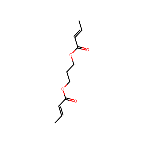 CC=CC(=O)O[CH]CCOC(=O)C=CC